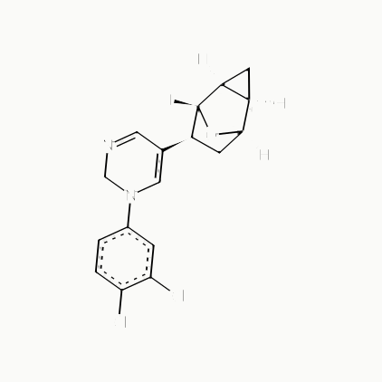 Clc1ccc(N2C=C([C@@H]3C[C@H]4O[C@H]3[C@H]3C[C@H]34)C=NC2)cc1Cl